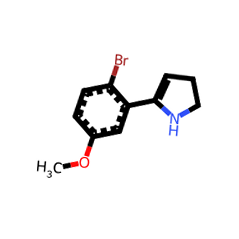 COc1ccc(Br)c(C2=CCCN2)c1